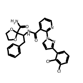 NC(=O)C1(C(Cc2ccccc2)NC(=O)c2cccnc2-n2ccc(-c3cccc(Cl)c3Cl)n2)OCCO1